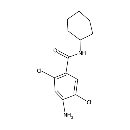 Nc1cc(Cl)c(C(=O)NC2CCCCC2)cc1Cl